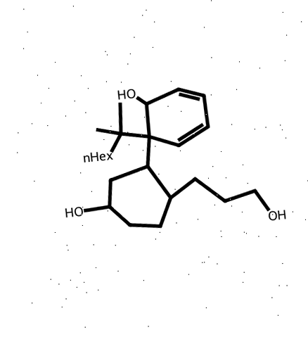 CCCCCCC(C)(C)C1(C2CC(O)CCC2CCCO)C=CC=CC1O